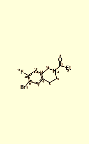 CCC(=O)N1CCc2cc(Br)c(F)cc2C1